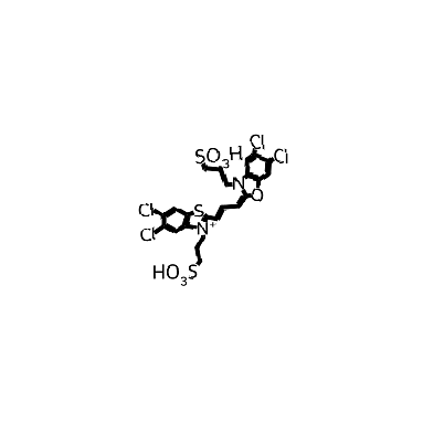 O=S(=O)(O)CCCN1C(=CC=Cc2sc3cc(Cl)c(Cl)cc3[n+]2CCCS(=O)(=O)O)Oc2cc(Cl)c(Cl)cc21